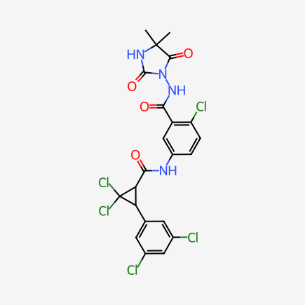 CC1(C)NC(=O)N(NC(=O)c2cc(NC(=O)C3C(c4cc(Cl)cc(Cl)c4)C3(Cl)Cl)ccc2Cl)C1=O